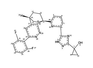 OC1(c2n[nH]c(-c3cccc([C@]45CC[C@H](CC4)c4cc(-c6c(F)cccc6F)nnc45)n3)n2)CC1